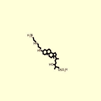 CC(COS(=O)(=O)O)C(O)CCC(C)C1CCC2C3CCC4CC(NCCCNCCCCN)CCC4(C)C3CCC12C